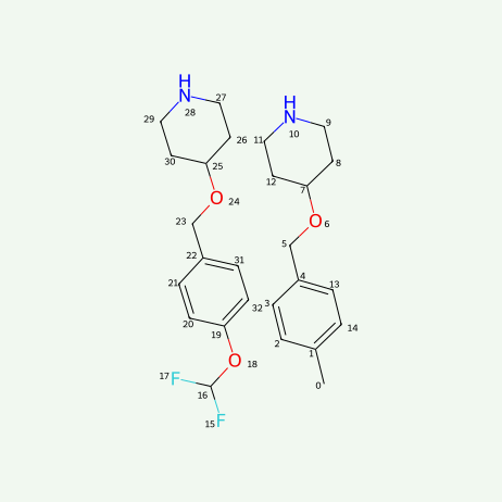 Cc1ccc(COC2CCNCC2)cc1.FC(F)Oc1ccc(COC2CCNCC2)cc1